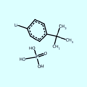 O=P(O)(O)O.[Li][c]1ccc(C(C)(C)C)cc1